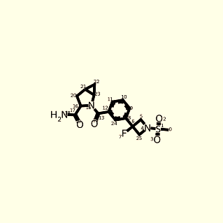 CS(=O)(=O)N1CC(F)(c2cccc(C(=O)N3C(C(N)=O)CC4CC43)c2)C1